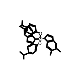 Cc1cc2c(cc1C)[CH]([Zr]([O]c1ccc(C(C)C)cc1)([O]c1ccc(C(C)C)cc1)[CH]1C=Cc3cc(C)c(C)cc31)C=C2